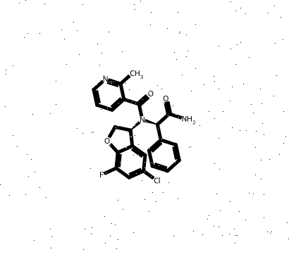 Cc1ncccc1C(=O)N([C@@H]1COc2c(F)cc(Cl)cc21)[C@@H](C(N)=O)c1ccccc1